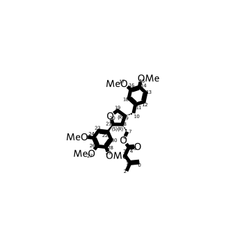 C=C(C)CC(=O)OC[C@H]1[C@@H](Cc2ccc(OC)c(OC)c2)CO[C@@H]1c1cc(OC)c(OC)c(OC)c1